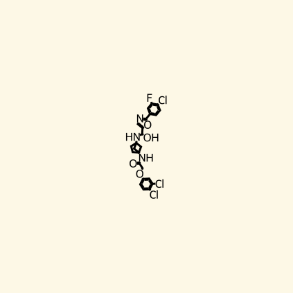 O=C(COc1ccc(Cl)c(Cl)c1)NC12CCC(NC(O)c3cnc(-c4ccc(Cl)c(F)c4)o3)(C1)C2